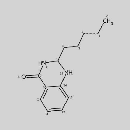 CCCCCC1NC(=O)c2ccccc2N1